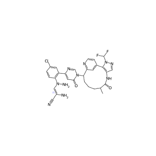 CC1CCCC(n2cnc(-c3cc(Cl)ccc3N(N)/C=C(\N)C#N)cc2=O)c2cc(ccn2)-c2c(cnn2C(F)F)NC1=O